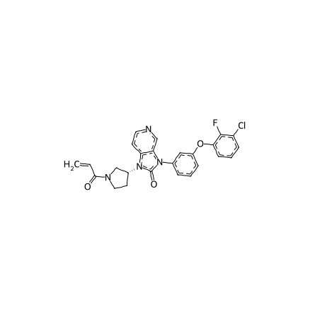 C=CC(=O)N1CC[C@@H](n2c(=O)n(-c3cccc(Oc4cccc(Cl)c4F)c3)c3cnccc32)C1